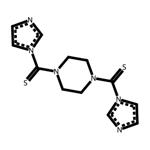 S=C(N1CCN(C(=S)n2ccnc2)CC1)n1ccnc1